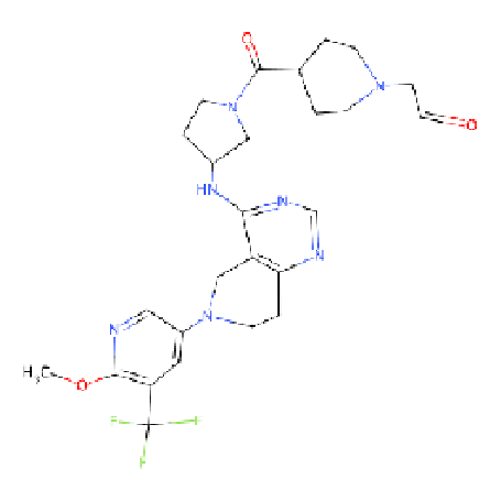 COc1ncc(N2CCc3ncnc(NC4CCN(C(=O)C5CCN(CC=O)CC5)C4)c3C2)cc1C(F)(F)F